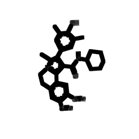 COc1cc2c(cc1OC)-c1c(C(=O)NC3CCCCC3)c(-c3cc(C)c(O)c(C)c3)c(C)n1CC2